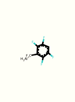 Fc1cc(F)c(F)c(C(F)(F)F)c1F.[AlH3]